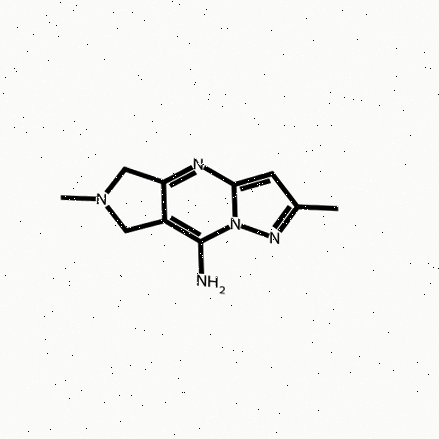 Cc1cc2nc3c(c(N)n2n1)CN(C)C3